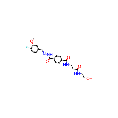 COc1cc(C=NNC(=O)c2ccc(C(=O)NCCC(=O)NCCO)cc2)ccc1F